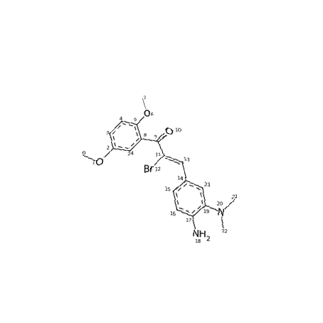 COc1ccc(OC)c(C(=O)C(Br)=Cc2ccc(N)c(N(C)C)c2)c1